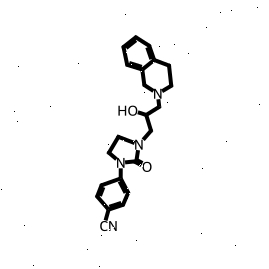 N#Cc1ccc(N2CCN(CC(O)CN3CCc4ccccc4C3)C2=O)cc1